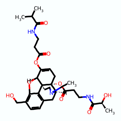 CC(C)C(=O)NCCC(=O)OC1=CC[C@@]2(OC(=O)CCNC(=O)[C@H](C)O)[C@H]3Cc4ccc(CO)c5c4[C@@]2(CCN3C)[C@H]1O5